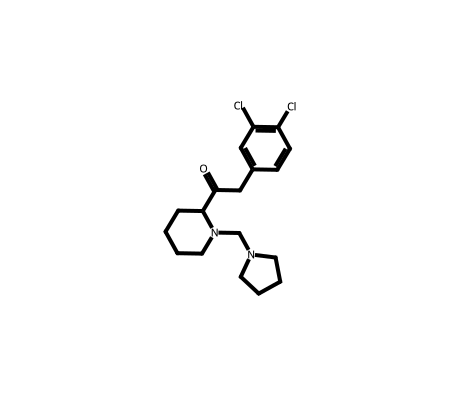 O=C(Cc1ccc(Cl)c(Cl)c1)C1CCCCN1CN1CCCC1